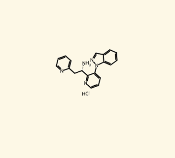 Cl.N[C@@H](Cc1ccccn1)c1ncccc1-n1ncc2ccccc21